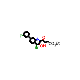 CCOC(=O)CCC(=O)c1nc2cc(-c3cccc(F)c3)ccc2c(Br)c1O